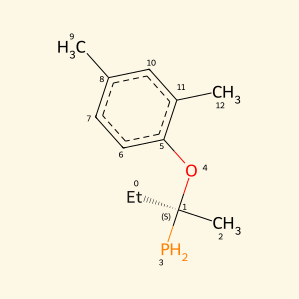 CC[C@](C)(P)Oc1ccc(C)cc1C